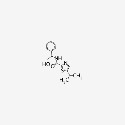 CC(C)c1cnc(C(=O)NC(CO)c2ccccc2)s1